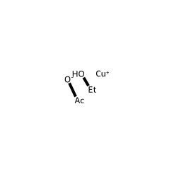 CC(=O)[O-].CCO.[Cu+]